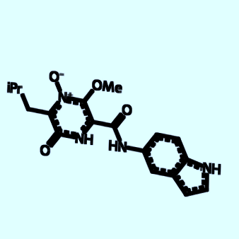 COc1c(C(=O)Nc2ccc3[nH]ccc3c2)[nH]c(=O)c(CC(C)C)[n+]1[O-]